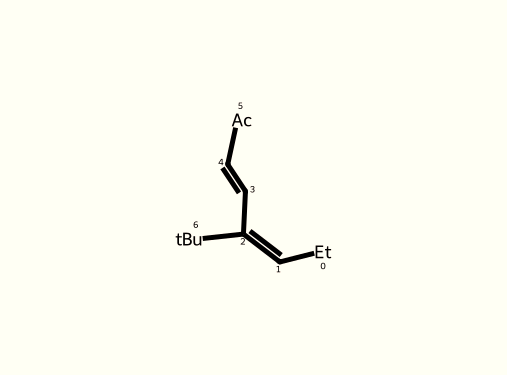 CC/C=C(\C=C\C(C)=O)C(C)(C)C